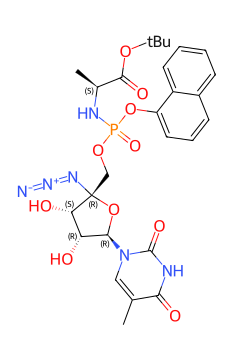 Cc1cn([C@@H]2O[C@@](COP(=O)(N[C@@H](C)C(=O)OC(C)(C)C)Oc3cccc4ccccc34)(N=[N+]=[N-])[C@@H](O)[C@H]2O)c(=O)[nH]c1=O